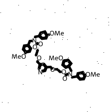 COc1ccc(CN(Cc2ccc(OC)cc2)C(=O)OCCOCc2cncc(COCCOC(=O)N(Cc3ccc(OC)cc3)Cc3ccc(OC)cc3)c2)cc1